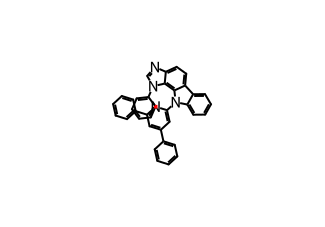 c1ccc(-c2cc(-c3ccccc3)nc(-n3c4ccccc4c4ccc5ncn(-c6ccccc6)c5c43)c2)cc1